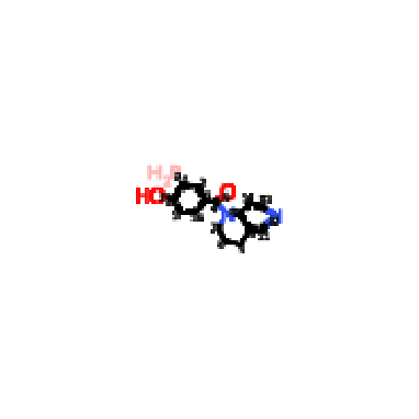 Bc1cc(C(=O)N2CCCc3cnccc32)ccc1O